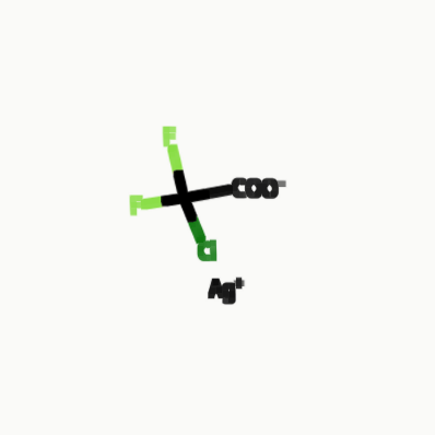 O=C([O-])C(F)(F)Cl.[Ag+]